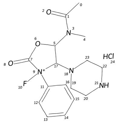 CC(=O)N(C)C1OC(=O)[N+](F)(c2ccccc2)C1N1CCNCC1.Cl